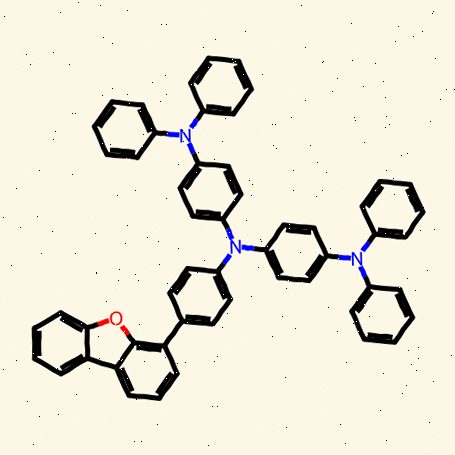 c1ccc(N(c2ccccc2)c2ccc(N(c3ccc(-c4cccc5c4oc4ccccc45)cc3)c3ccc(N(c4ccccc4)c4ccccc4)cc3)cc2)cc1